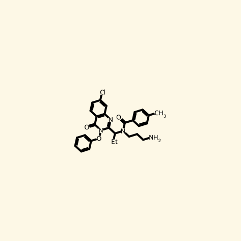 CCC(c1nc2cc(Cl)ccc2c(=O)n1Oc1ccccc1)N(CCCN)C(=O)c1ccc(C)cc1